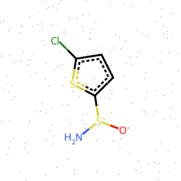 N[S+]([O-])c1ccc(Cl)s1